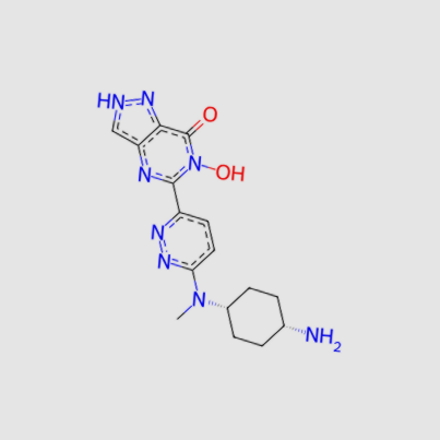 CN(c1ccc(-c2nc3c[nH]nc3c(=O)n2O)nn1)[C@H]1CC[C@@H](N)CC1